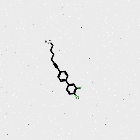 CCCCCC#Cc1ccc(-c2ccc(Cl)c(F)c2)cc1